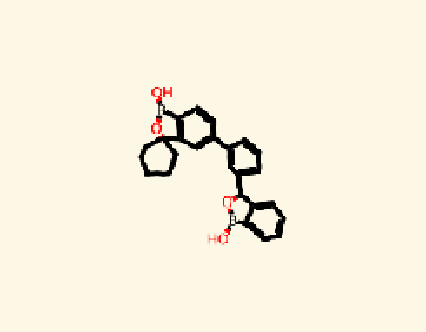 OB1OC(c2cccc(-c3ccc4c(c3)C3(CCCCC3)OB4O)c2)c2ccccc21